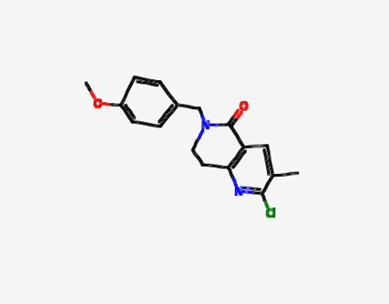 COc1ccc(CN2CCc3nc(Cl)c(C)cc3C2=O)cc1